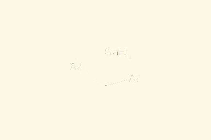 [CH2]C(=O)CC(C)=O.[GaH3]